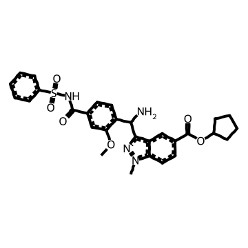 COc1cc(C(=O)NS(=O)(=O)c2ccccc2)ccc1C(N)c1nn(C)c2ccc(C(=O)OC3CCCC3)cc12